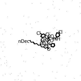 CCCCCCCCCCCCC=CCCC(Cl)CC1CC(=O)N(N(c2ccccc2)c2[nH]n(-c3c(Cl)cc(Cl)cc3Cl)c(=O)c2OC(=O)Nc2ccc(Cl)cc2)C1=O